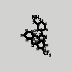 NCC1CCCC(c2nc3cc(C(F)(F)F)cc4c3n2-c2ccccc2S4)C1